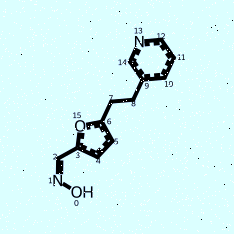 O/N=C\c1ccc(CCc2cccnc2)o1